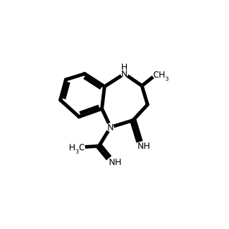 CC(=N)N1C(=N)CC(C)Nc2ccccc21